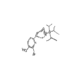 CC(C)[Si](C(C)C)(C(C)C)n1ccc(-c2ccc(O)c(Br)n2)c1